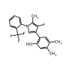 Cc1cc(O)c(-c2nn(-c3ccccc3C(F)(F)F)c(C)c2I)cc1C